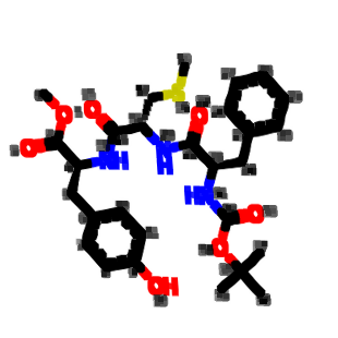 COC(=O)[C@H](Cc1ccc(O)cc1)NC(=O)[C@H](CSC)NC(=O)[C@@H](Cc1ccccc1)NC(=O)OC(C)(C)C